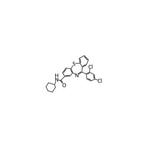 O=C(NC1CCCCC1)c1ccc2c(c1)N=C(c1ccc(Cl)cc1Cl)c1ccccc1S2